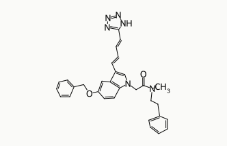 CN(CCc1ccccc1)C(=O)Cn1cc(/C=C/C=C/c2nnn[nH]2)c2cc(OCc3ccccc3)ccc21